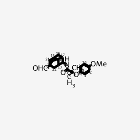 COc1ccc(OC(C)(C)C(=O)NC2C3CC4CC2CC(C=O)(C4)C3)cc1